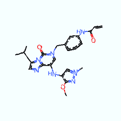 C=CC(=O)Nc1cccc(Cn2cc(Nc3cn(C)nc3OC)c3ncc(C(C)C)n3c2=O)c1